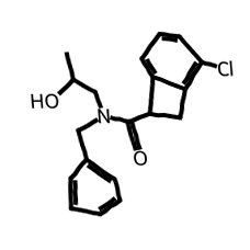 CC(O)CN(Cc1ccccc1)C(=O)C1Cc2c(Cl)cccc21